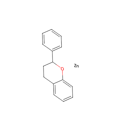 [Zn].c1ccc(C2CCc3ccccc3O2)cc1